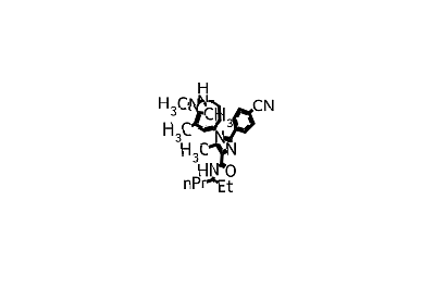 CCCC(CC)NC(=O)c1nc(-c2ccc(C#N)cc2)n(/C2=C/C(C)=C(\C)N(C)NCCC2)c1C